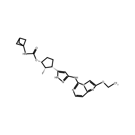 O=C(NC12CC(C1)C2)O[C@@H]1CC[C@H](c2cc(Nc3nccc4nc(OCC(F)(F)F)cn34)n[nH]2)[C@@H]1F